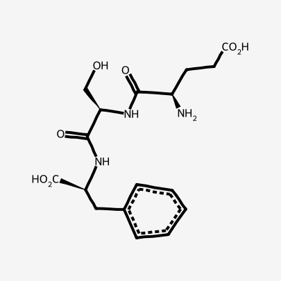 N[C@H](CCC(=O)O)C(=O)N[C@H](CO)C(=O)N[C@@H](Cc1ccccc1)C(=O)O